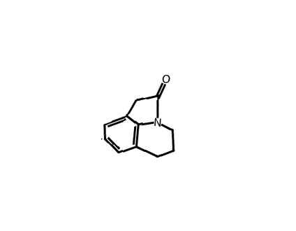 O=C1Cc2c[c]cc3c2N1CCC3